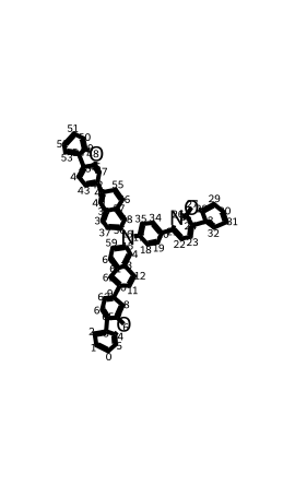 c1ccc2c(c1)oc1cc(-c3ccc4cc(N(c5ccc(-c6ccc7c(n6)oc6ccccc67)cc5)c5ccc6cc(-c7ccc8c(c7)oc7ccccc78)ccc6c5)ccc4c3)ccc12